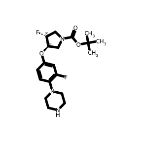 CC(C)(C)OC(=O)N1C[C@@H](F)[C@H](Oc2ccc(N3CCNCC3)c(F)c2)C1